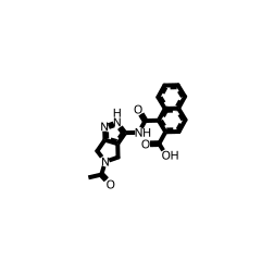 CC(=O)N1Cc2n[nH]c(NC(=O)c3c(C(=O)O)ccc4ccccc34)c2C1